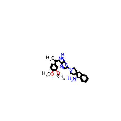 C=C(c1ccc(OC)c(OC)c1)c1n[nH]c2nc(N3CCC4(CC3)Cc3ccccc3[C@H]4N)cnc12